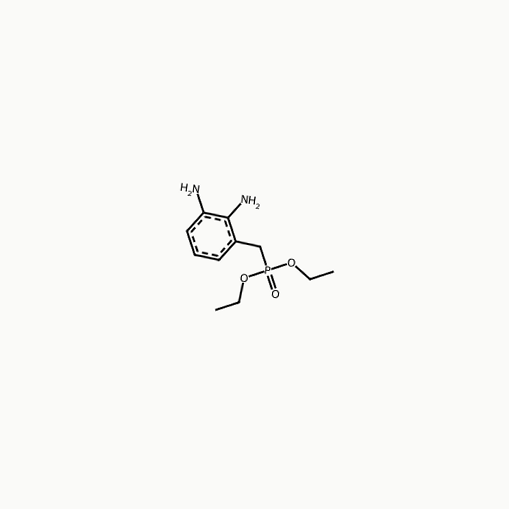 CCOP(=O)(Cc1cccc(N)c1N)OCC